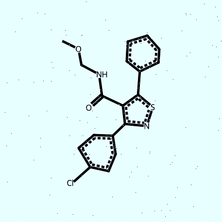 COCNC(=O)c1c(-c2ccc(Cl)cc2)nsc1-c1ccccc1